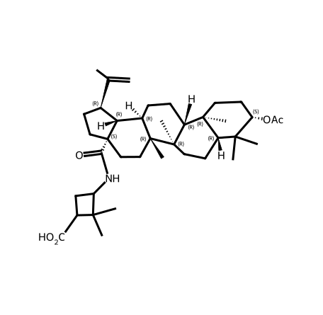 C=C(C)[C@@H]1CC[C@]2(C(=O)NC3CC(C(=O)O)C3(C)C)CC[C@]3(C)[C@H](CC[C@@H]4[C@@]5(C)CC[C@H](OC(C)=O)C(C)(C)[C@@H]5CC[C@]43C)[C@@H]12